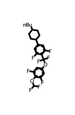 CCCCC1CCC(c2cc(F)c(C(F)(F)Oc3cc(F)c(OC(F)F)c(F)c3)c(F)c2)CC1